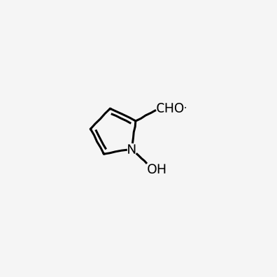 O=[C]c1cccn1O